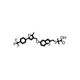 Cc1oc(-c2ccc(C(F)(F)F)cc2)cc1COc1ccc2sc(CSC(C)(C)C(=O)O)cc2c1